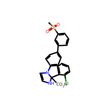 CS(=O)(=O)c1cccc(-c2ccc(N3C=CNC3(C(=O)O)c3ccccc3Cl)cc2)c1